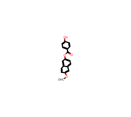 O=COc1ccc2cc(OC(=O)c3ccc(O)cc3)ccc2c1